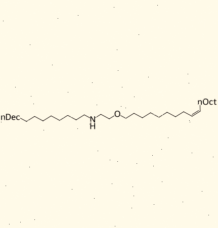 CCCCCCCC/C=C\CCCCCCCCOCCNCCCCCCCCCCCCCCCCCC